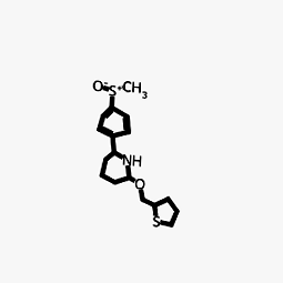 C[S+]([O-])c1ccc(C2CCCC(OCC3CCCS3)N2)cc1